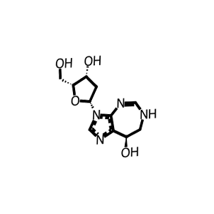 OC[C@H]1O[C@@H](n2cnc3c2N=CNC[C@H]3O)C[C@H]1O